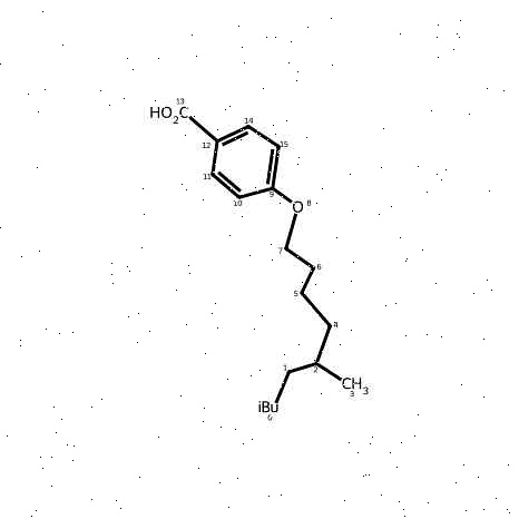 CCC(C)CC(C)CCCCOc1ccc(C(=O)O)cc1